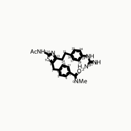 CNC(=O)c1ccc(Cc2sc(NC(C)=O)nc2CCc2ccc(NC(=N)N)cc2)cc1